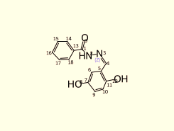 O=C(N/N=C\c1cc(O)ccc1O)c1ccccc1